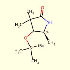 C[C@@H]1NC(=O)C(C)(C)C1O[Si](C)(C)C(C)(C)C